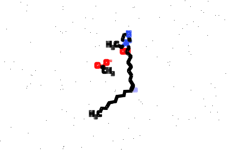 CC(=O)[O-].CCCCCCCC/C=C\CCCCCCCC[N+]1(C(C)O)C=NCC1